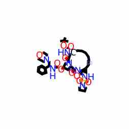 CC(C)(C)OC(=O)NC1CCCCC/C=C\C2CC2(C(=O)NS(=O)(=O)N2CCCC2)NC(=O)C2CC(OC(=O)NC(CN3CCOCC3)c3ccccc3)CN2C1=O